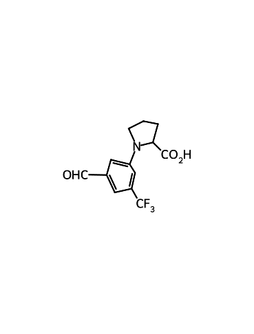 O=Cc1cc(N2CCCC2C(=O)O)cc(C(F)(F)F)c1